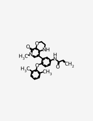 C=CC(=O)Nc1ccc(Oc2c(C)cccc2C)c(-c2cn(C)c(=O)c3c2NCCO3)c1